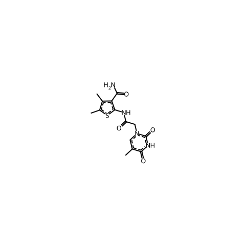 Cc1sc(NC(=O)Cn2cc(C)c(=O)[nH]c2=O)c(C(N)=O)c1C